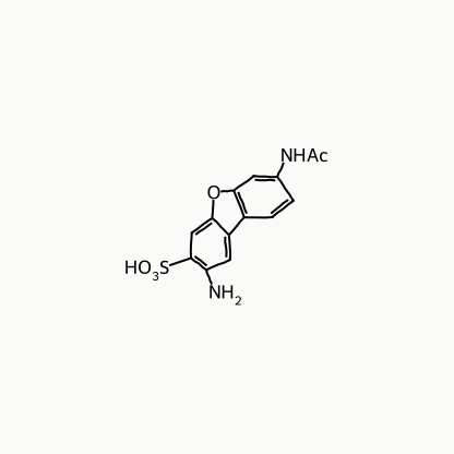 CC(=O)Nc1ccc2c(c1)oc1cc(S(=O)(=O)O)c(N)cc12